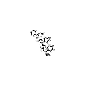 CC(C)(C)CC(c1ccccc1)C(C)(C)C(C)(C)CC(c1ccncc1)C(C)(C)C(C)(C)CC(c1ccccc1)C(C)(C)C